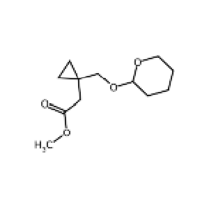 COC(=O)CC1(COC2CCCCO2)CC1